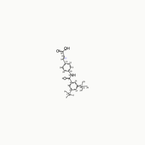 C[Si](C)(C)c1cc(C(=O)Nc2ccc(/C=C/C(=O)O)cc2)cc([Si](C)(C)C)c1